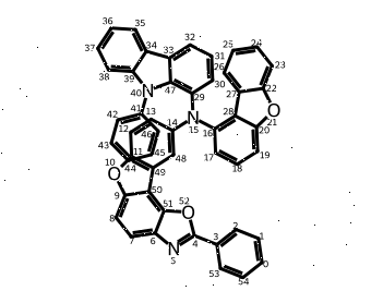 c1ccc(-c2nc3ccc4oc5ccc(N(c6cccc7oc8ccccc8c67)c6cccc7c8ccccc8n(-c8ccccc8)c67)cc5c4c3o2)cc1